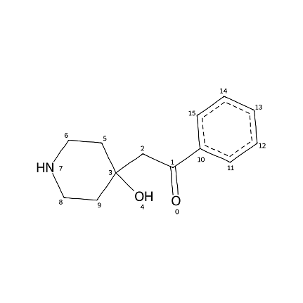 O=C(CC1(O)CCNCC1)c1ccccc1